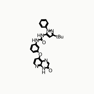 CC(C)(C)c1cc(NC(=O)Nc2cccc(Oc3ccnc4[nH]c(=O)cnc34)c2)n(-c2ccccc2)n1